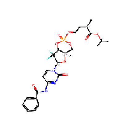 CC(C)OC(=O)[C@H](C)CCOP1(=O)OC[C@H]2O[C@@H](n3ccc(NC(=O)c4ccccc4)nc3=O)C(F)(F)C2O1